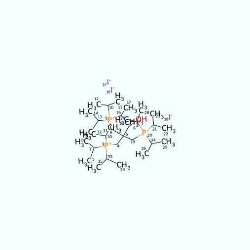 CC(C)[P+](CC(CO)(C[P+](C(C)C)(C(C)C)C(C)C)C[P+](C(C)C)(C(C)C)C(C)C)(C(C)C)C(C)C.[I-].[I-].[I-]